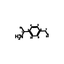 CC(N)c1ccc(CI)cc1